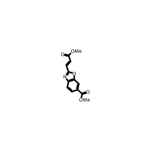 COC(=O)C=Cc1nc2ccc(C(=O)OC)cc2o1